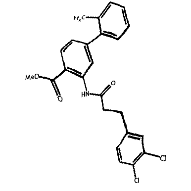 COC(=O)c1ccc(-c2ccccc2C)cc1NC(=O)CCc1ccc(Cl)c(Cl)c1